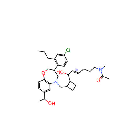 CCCc1cc(Cl)ccc1C1COc2ccc(C(C)O)cc2N(CC2CCC2C(O)/C=C/CCCN(C)C(C)=O)C1